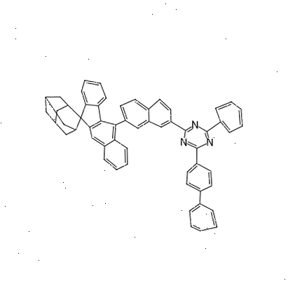 c1ccc(-c2ccc(-c3nc(-c4ccccc4)nc(-c4ccc5ccc(-c6c7c(cc8ccccc68)C6(c8ccccc8-7)C7CC8CC(C7)CC6C8)cc5c4)n3)cc2)cc1